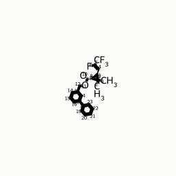 CC1(C)[C@H](C=C(F)C(F)(F)F)[C@H]1C(=O)OCc1cccc(-c2ccccc2)c1